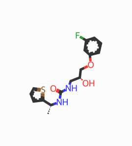 C[C@@H](NC(=O)NC[C@@H](O)COc1cccc(F)c1)c1cccs1